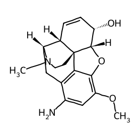 COc1cc(N)c2c3c1O[C@H]1[C@@H](O)C=C[C@H]4[C@@H](C2)N(C)CC[C@@]341